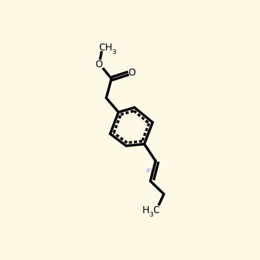 CC/C=C/c1ccc(CC(=O)OC)cc1